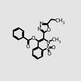 CCc1nnc(C2=C(OC(=O)c3ccccc3)c3ccccc3S(=O)(=O)N2C)o1